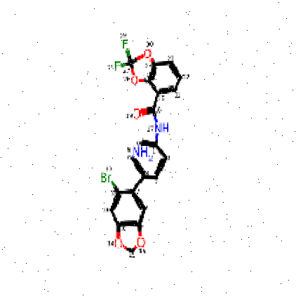 C=C(/C=C\C(=C/N)c1cc2c(cc1Br)OCO2)NC(=O)c1cccc2c1OC(F)(F)O2